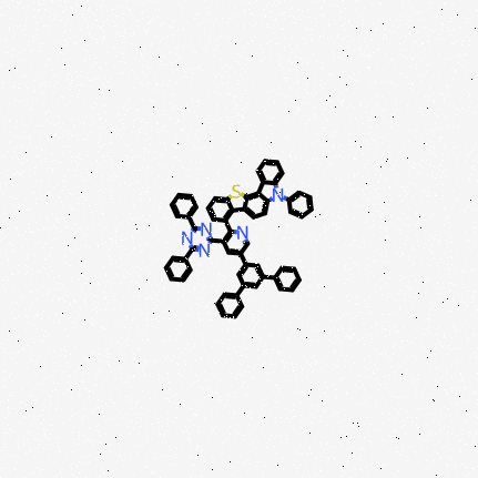 c1ccc(-c2cc(-c3ccccc3)cc(-c3cnc(-c4cccc5sc6c(ccc7c6c6ccccc6n7-c6ccccc6)c45)c(-c4nc(-c5ccccc5)nc(-c5ccccc5)n4)c3)c2)cc1